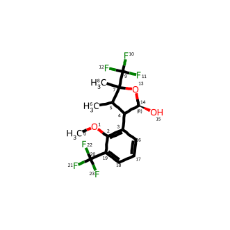 COc1c(C2C(C)C(C)(C(F)(F)F)O[C@H]2O)cccc1C(F)(F)F